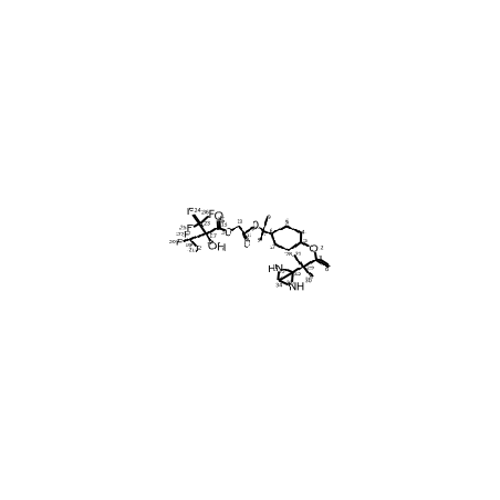 C=C(OC1CCC(C(C)(C)OC(=O)COC(=O)C(O)(C(F)(F)F)C(F)(F)F)CC1)C(C)(C)C12NC1N2